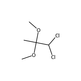 COC(C)(OC)C(Cl)Cl